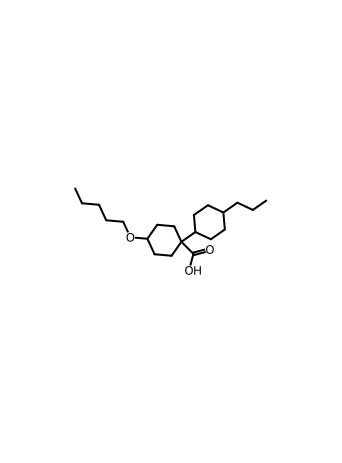 CCCCCOC1CCC(C(=O)O)(C2CCC(CCC)CC2)CC1